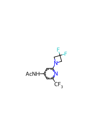 CC(=O)Nc1cc(N2CC(F)(F)C2)nc(C(F)(F)F)c1